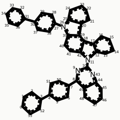 c1ccc(-c2ccc(-c3nc(-n4c5ccccc5c5c6c7ccccc7n(-c7ccc(-c8ccccc8)cc7)c6ccc54)nc4ccccc34)cc2)cc1